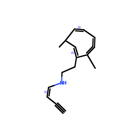 C#C/C=C\NCC/C1=C\C(C)/C=C\C=C=C1C